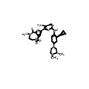 C[C@@H]1CN(c2ccc(Nc3ncc(C(F)(F)F)c(-c4cc5c(s4)C(=O)N(C)CCS5(=O)=O)n3)c(C3CC3)c2)CCN1C